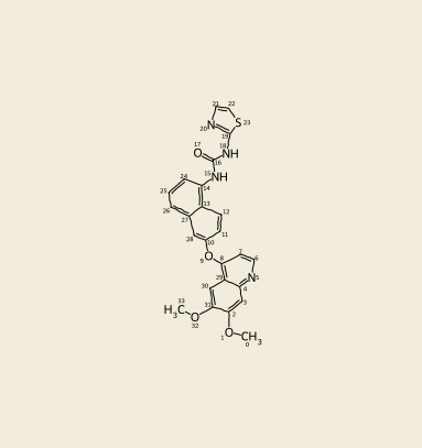 COc1cc2nccc(Oc3ccc4c(NC(=O)Nc5nccs5)cccc4c3)c2cc1OC